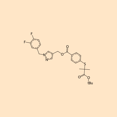 CC(C)(C)OC(=O)C(C)(C)Sc1ccc(C(=O)OCc2cnn(Cc3ccc(F)c(F)c3)c2)cc1